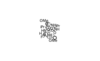 COC(=O)CC(NC(=O)[C@@H](NC(=O)OCc1ccccc1)C(C)C)C(=O)N[C@H](C(=O)NC(C)C(=O)N[C@@H](CC(=O)OC)C(=O)CF)C(C)C